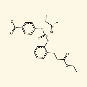 CCOC(=O)CCc1ccccc1O[P@](=O)(N[C@@H](C)CC)Oc1ccc([N+](=O)[O-])cc1